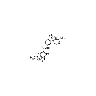 CN/C(=C\C(=N)C(C)(C)C)C(=O)Nc1ccc(F)c([C@]2(C)CCSC(N)=N2)c1